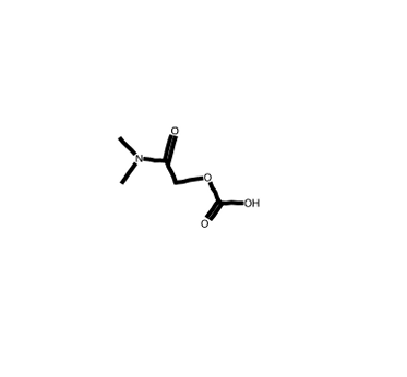 CN(C)C(=O)COC(=O)O